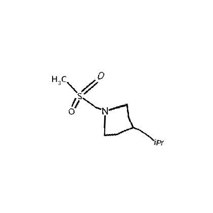 CC(C)C1CN(S(C)(=O)=O)C1